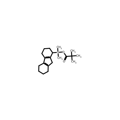 CC(C)(C)C(=O)[O][Ti]([CH3])([CH3])[CH]1CCCC2=C1CC1=C2CCCC1